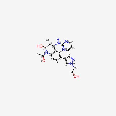 CC(=O)N1c2ccc(-c3cnn(CCO)c3)cc2[C@H](Nc2ncccn2)[C@@H](C)[C@@H]1O